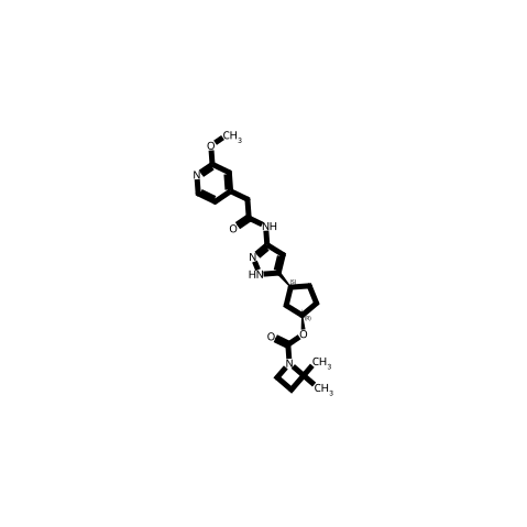 COc1cc(CC(=O)Nc2cc([C@H]3CC[C@@H](OC(=O)N4CCC4(C)C)C3)[nH]n2)ccn1